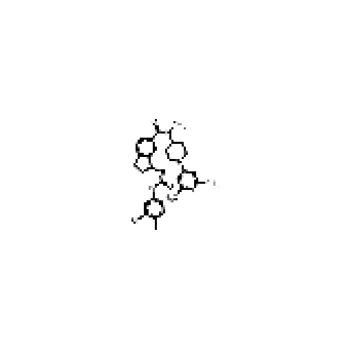 Cc1cc(N2CCC(N(C)C(=O)c3ccc4c(c3)C(NC(=O)Nc3ccc(F)c(Cl)c3)CC4)CC2)cc(C)n1